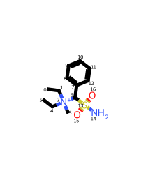 CC[N+](C)(CC)C(c1ccccc1)S(N)(=O)=O